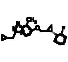 Cc1c(OC[C@H]2C[C@@H]2c2ccccc2F)ccn2c(CC3CC3)nnc12